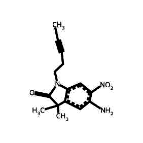 CC#CCCN1C(=O)C(C)(C)c2cc(N)c([N+](=O)[O-])cc21